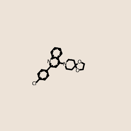 Clc1ccc(-c2cc(N3CCC4(CC3)OCCO4)c3ccccc3n2)cc1